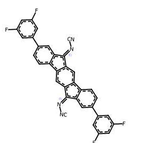 [C-]#[N+]/N=c1\c2cc(-c3cc(F)cc(F)c3)ccc2c2cc3/c(=N/C#N)c4cc(-c5cc(F)cc(F)c5)ccc4c3cc12